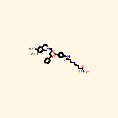 COc1cc2c(cc1OC)CN(CC1CC(c3ccccc3)OC(c3ccc(NC(=O)CCCCCCC(=O)NO)cc3)O1)CC2